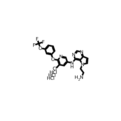 Cl.Cl.Cl.NCCn1ccc2ncnc(Nc3cnc(Oc4cccc(OC(F)(F)F)c4)c(Cl)c3)c21